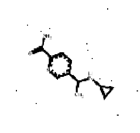 CC(NC1CC1)c1ccc(C(N)=O)nc1